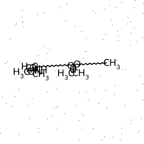 CCCCCCCCCCCCCCOC(COCCCCCCCCCCCCCCCC(C)N[C@@H](C)C(=O)OC(C)C)COC(C)C